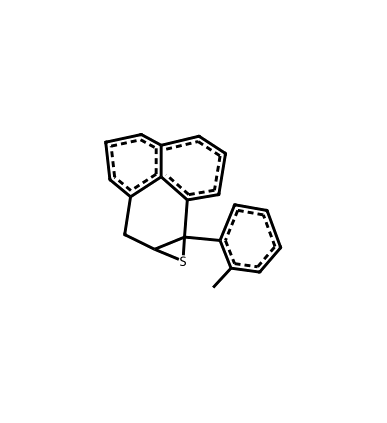 Cc1ccccc1C12SC1Cc1cccc3cccc2c13